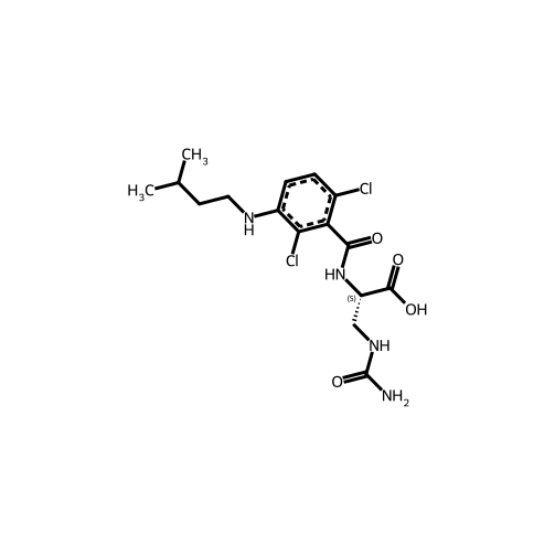 CC(C)CCNc1ccc(Cl)c(C(=O)N[C@@H](CNC(N)=O)C(=O)O)c1Cl